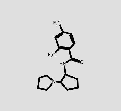 O=C(NC1CCCC1N1CCCC1)c1ccc(C(F)(F)F)cc1C(F)(F)F